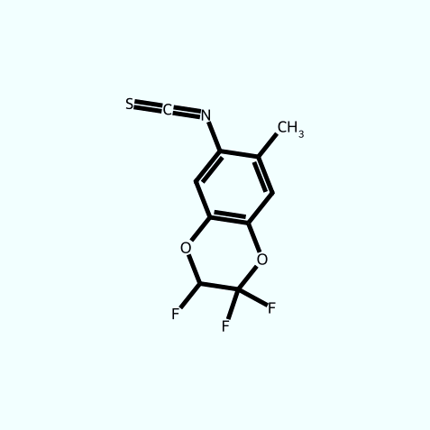 Cc1cc2c(cc1N=C=S)OC(F)C(F)(F)O2